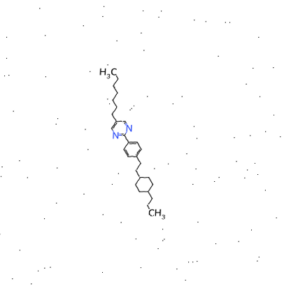 CCCCCCCc1cnc(-c2ccc(CCC3CCC(CCC)CC3)cc2)nc1